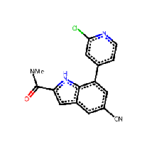 CNC(=O)c1cc2cc(C#N)cc(-c3ccnc(Cl)c3)c2[nH]1